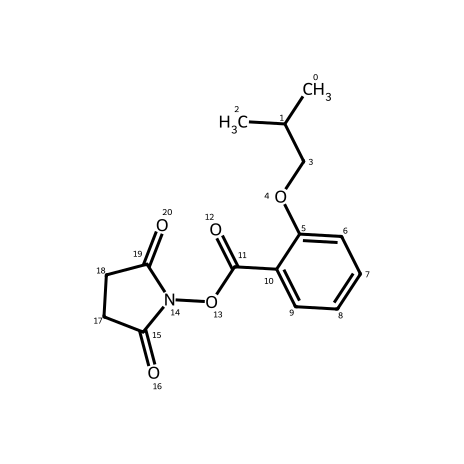 CC(C)COc1ccccc1C(=O)ON1C(=O)CCC1=O